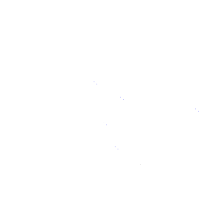 Cn1cc(S(=O)(=O)OCc2ccccc2)nc1-c1ccc(C(N)=O)cc1N1CCN(c2ccccc2)CC1